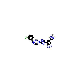 Cn1cc(-c2cc(-c3cnc(N4CCN(Cc5cccc(F)c5)CC4)cn3)c3cncnc3c2)cn1